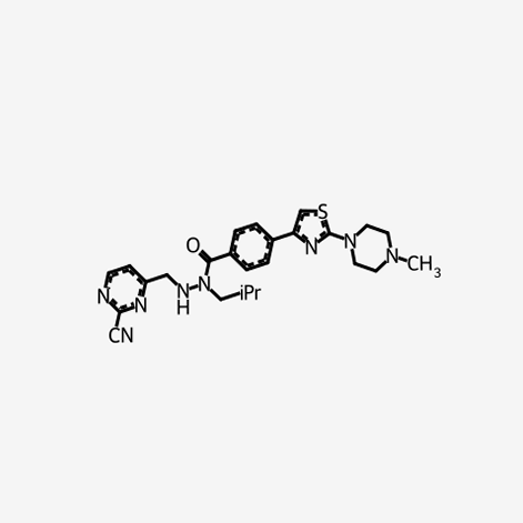 CC(C)CN(NCc1ccnc(C#N)n1)C(=O)c1ccc(-c2csc(N3CCN(C)CC3)n2)cc1